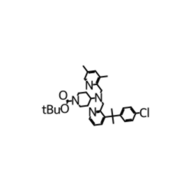 Cc1cnc(CN(Cc2ncccc2C(C)(C)c2ccc(Cl)cc2)C2CCN(C(=O)OC(C)(C)C)CC2)c(C)c1